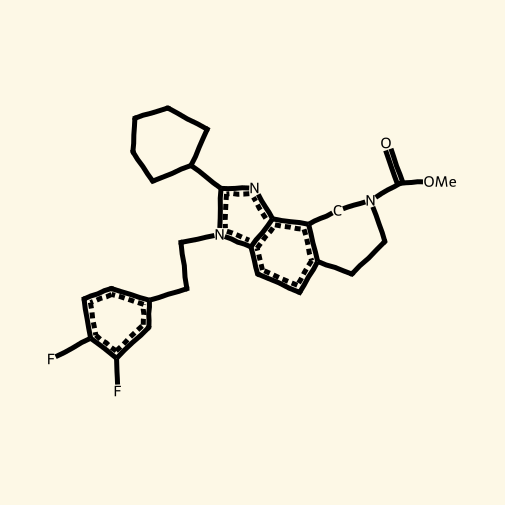 COC(=O)N1CCc2ccc3c(nc(C4CCCCC4)n3CCc3ccc(F)c(F)c3)c2C1